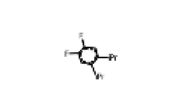 CC(C)c1cc(F)c(F)cc1C(C)C